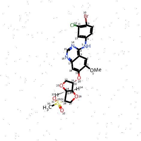 COc1cc2c(Nc3ccc(Br)c(Cl)c3)ncnc2cc1O[C@H]1CO[C@H]2[C@@H]1OC[C@@H]2S(C)(=O)=O